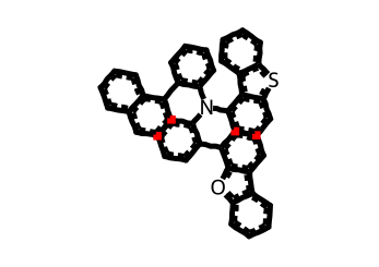 c1ccc(N(c2ccccc2-c2cccc3c2oc2ccccc23)c2cccc3sc4ccccc4c23)c(-c2cccc3ccccc23)c1